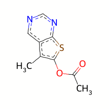 CC(=O)Oc1sc2ncncc2c1C